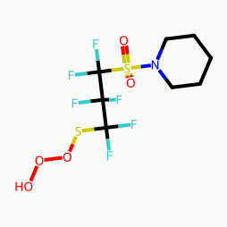 O=S(=O)(N1CCCCC1)C(F)(F)C(F)(F)C(F)(F)SOOO